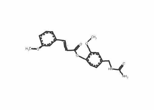 COc1cccc(/C=C/C(=O)Oc2ccc(CNC(N)=O)cc2OC)c1